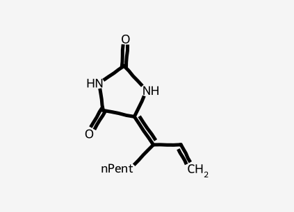 C=CC(CCCCC)=C1NC(=O)NC1=O